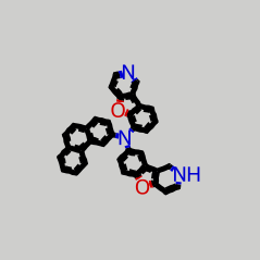 C1=Cc2oc3ccc(N(c4ccc5ccc6ccccc6c5c4)c4cccc5c4oc4ccncc45)cc3c2CN1